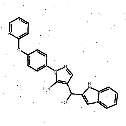 Nc1c(C(O)c2cc3ccccc3[nH]2)cnn1-c1ccc(Oc2ccccn2)cc1